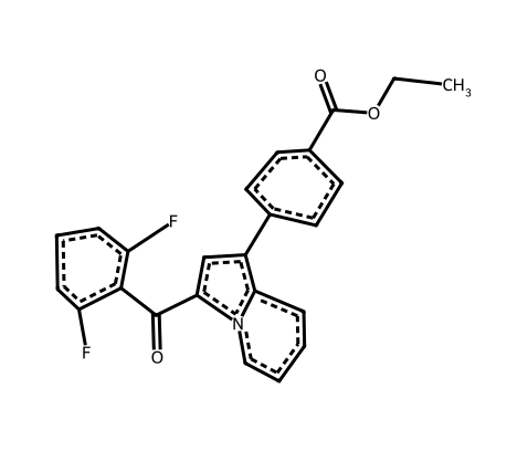 CCOC(=O)c1ccc(-c2cc(C(=O)c3c(F)cccc3F)n3ccccc23)cc1